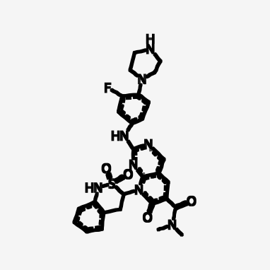 CN(C)C(=O)c1cc2cnc(Nc3ccc(N4CCNCC4)c(F)c3)nc2n(C2Cc3ccccc3NS2(=O)=O)c1=O